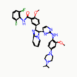 COc1cc(N2CCN(C(C)C)CC2)ccc1Nc1nccc(-c2c(-c3ccc(OC)c(C(=O)Nc4c(F)cccc4F)c3)nc3ccccn23)n1